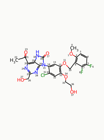 COc1ccc(F)c(F)c1COc1cc(-n2c(=O)[nH]c3c(C(C)=O)nc(CO)nc32)c(Cl)cc1OCCO